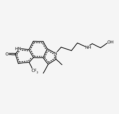 Cc1c(C)n(CCCNCCO)c2ccc3[nH]c(=O)cc(C(F)(F)F)c3c12